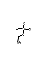 CCCCO[Si](Cl)(Cl)Cl